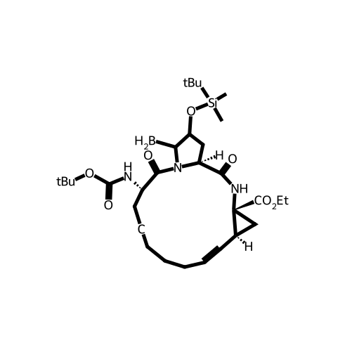 BC1C(O[Si](C)(C)C(C)(C)C)C[C@H]2C(=O)N[C@]3(C(=O)OCC)C[C@H]3/C=C\CCCCC[C@H](NC(=O)OC(C)(C)C)C(=O)N12